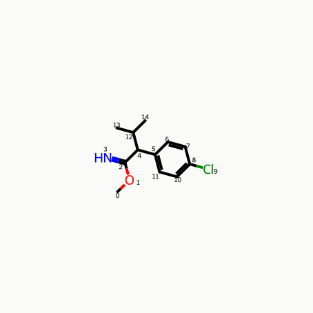 COC(=N)C(c1ccc(Cl)cc1)C(C)C